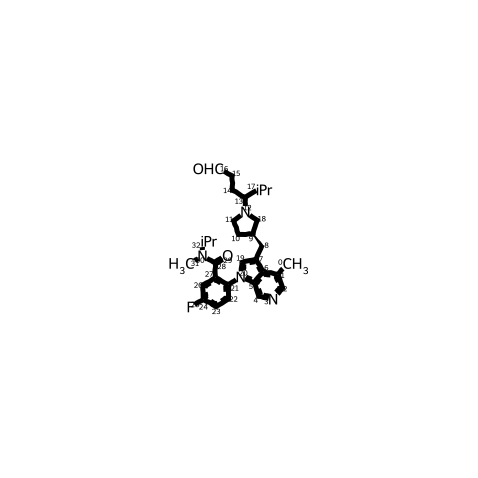 Cc1cncc2c1c(C[C@H]1CCN(C(CCC=O)C(C)C)C1)cn2-c1ccc(F)cc1C(=O)N(C)C(C)C